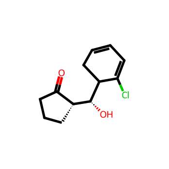 O=C1CCC[C@H]1[C@@H](O)C1CC=CC=C1Cl